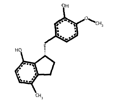 COc1ccc(C[C@@H]2CCc3c(C)ccc(O)c32)cc1O